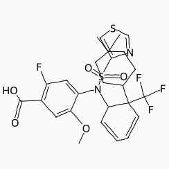 COc1cc(C(=O)O)c(F)cc1N(C1C=CC=CC1(C1CCC(C)(C)CC1)C(F)(F)F)S(=O)(=O)c1cscn1